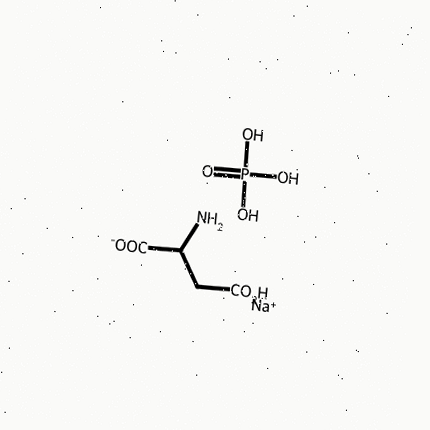 NC(CC(=O)O)C(=O)[O-].O=P(O)(O)O.[Na+]